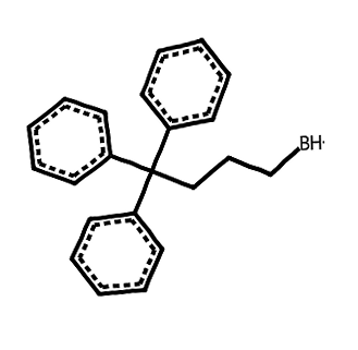 [BH]CCCC(c1ccccc1)(c1ccccc1)c1ccccc1